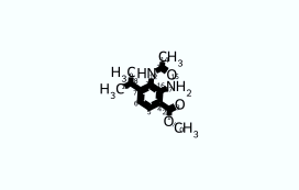 COC(=O)c1ccc(C(C)C)c(NC(C)=O)c1N